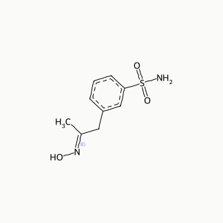 C/C(Cc1cccc(S(N)(=O)=O)c1)=N\O